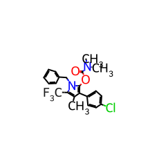 Cc1c(-c2ccc(Cl)cc2)c(OC(=O)N(C)C)n(Cc2ccccc2)c1C(F)(F)F